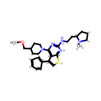 COCC1CCN(c2nc(NCCC3CCCN3C)nc3scc(-c4ccccc4)c23)CC1